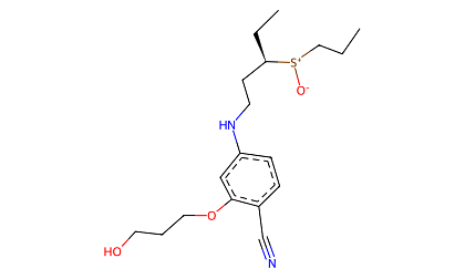 CCC[S+]([O-])[C@H](CC)CCNc1ccc(C#N)c(OCCCO)c1